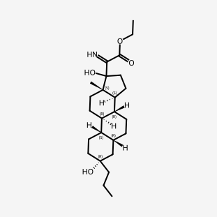 CCC[C@@]1(O)CC[C@H]2[C@H](CC[C@@H]3[C@@H]2CC[C@@]2(C)[C@H]3CCC2(O)C(=N)C(=O)OCC)C1